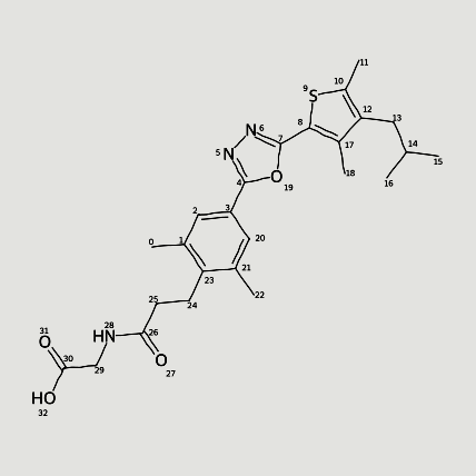 Cc1cc(-c2nnc(-c3sc(C)c(CC(C)C)c3C)o2)cc(C)c1CCC(=O)NCC(=O)O